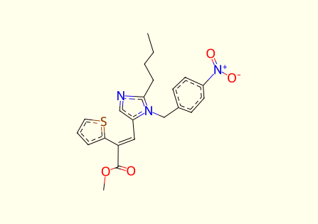 CCCCc1ncc(C=C(C(=O)OC)c2cccs2)n1Cc1ccc([N+](=O)[O-])cc1